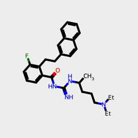 CCN(CC)CCCC(C)NC(=N)NC(=O)c1cccc(F)c1CCc1ccc2ccccc2c1